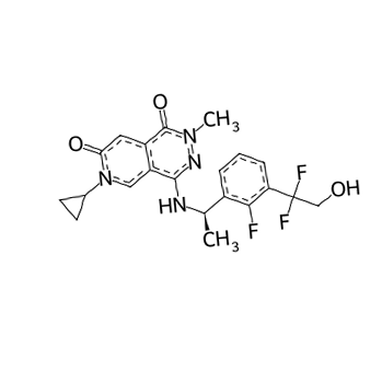 C[C@@H](Nc1nn(C)c(=O)c2cc(=O)n(C3CC3)cc12)c1cccc(C(F)(F)CO)c1F